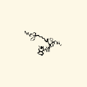 COC(=O)CCCC=CC[C@H]1CO[C@@H](C)O[C@H]1C=NNc1nncc2ccccc12